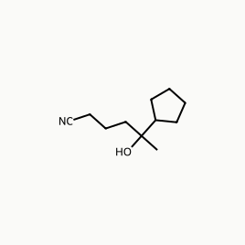 CC(O)(CCCC#N)C1CCCC1